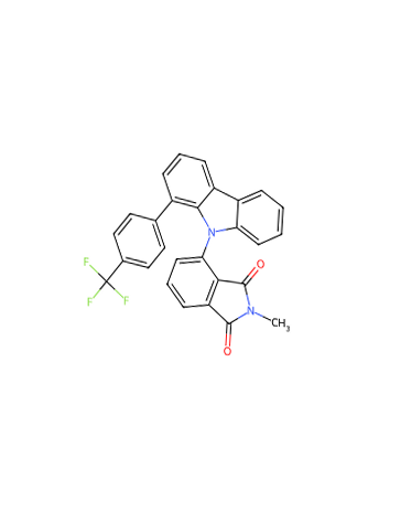 CN1C(=O)c2cccc(-n3c4ccccc4c4cccc(-c5ccc(C(F)(F)F)cc5)c43)c2C1=O